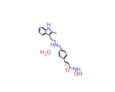 Cc1[nH]c2ccccc2c1CCNCc1ccc(/C=C/C(=O)NO)cc1.O